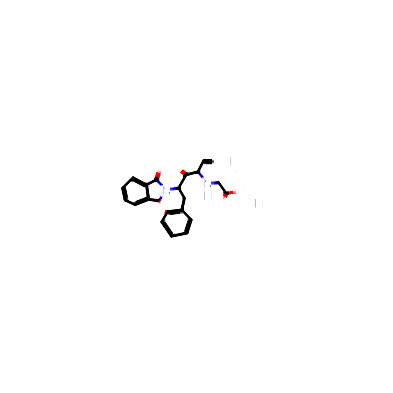 C=CC(NCC(=O)OC)C(=O)C(Cc1ccccc1)N1C(=O)c2ccccc2C1=O